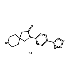 Cl.O=C1CC2(CCNCC2)CN1c1ccc(-n2cnnn2)nc1